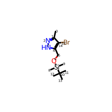 Cc1n[nH]c(CO[Si](C)(C)C(C)(C)C)c1Br